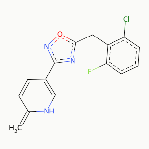 C=C1C=CC(c2noc(Cc3c(F)cccc3Cl)n2)=CN1